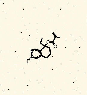 C=C(C)C(=O)OC1(CC)CCCc2cc(F)ccc21